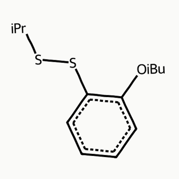 CC(C)COc1ccccc1SSC(C)C